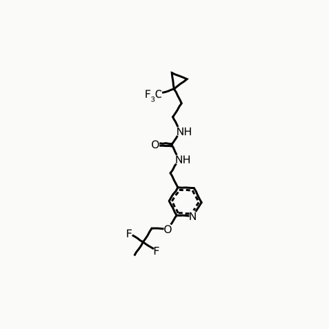 CC(F)(F)COc1cc(CNC(=O)NCCC2(C(F)(F)F)CC2)ccn1